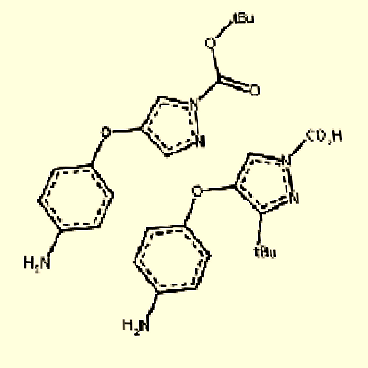 CC(C)(C)OC(=O)n1cc(Oc2ccc(N)cc2)cn1.CC(C)(C)c1nn(C(=O)O)cc1Oc1ccc(N)cc1